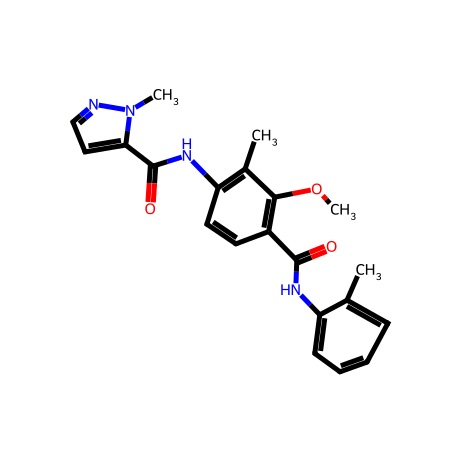 COc1c(C(=O)Nc2ccccc2C)ccc(NC(=O)c2ccnn2C)c1C